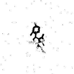 Cc1cc(Br)ccc1C(CC(=O)O)c1c(C)nn(C)c1NC(=O)OC(C)(C)C